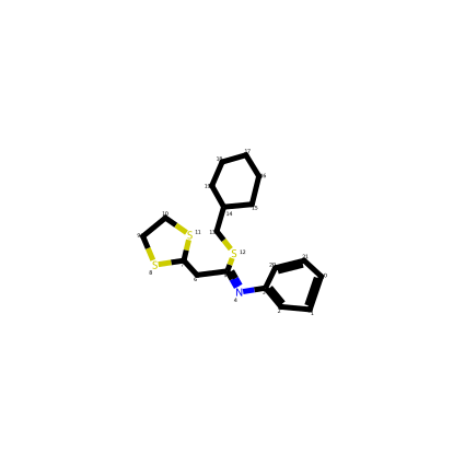 c1ccc(N=C(CC2SCCS2)SCC2CCCCC2)cc1